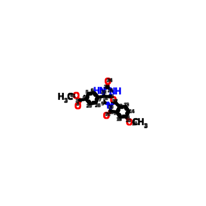 COC(=O)c1ccc([C@@]2(CN3Cc4ccc(OC)cc4C3=O)NC(=O)NC2=O)cc1